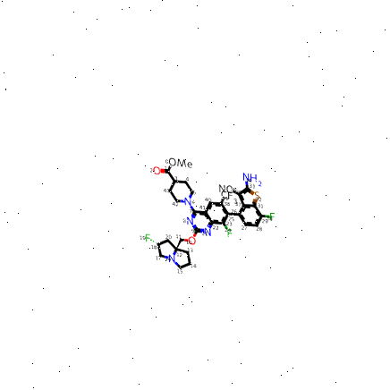 COC(=O)C1CCN(c2nc(OC[C@@]34CCCN3C[C@H](F)C4)nc3c(F)c(-c4ccc(F)c5sc(N)c(C#N)c45)c(C(F)(F)F)cc23)CC1